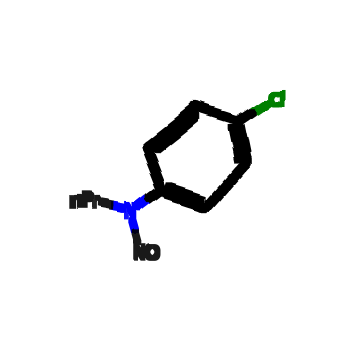 CCCN(N=O)c1ccc(Cl)cc1